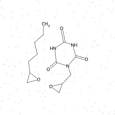 CCCCCC1CO1.O=c1[nH]c(=O)n(CC2CO2)c(=O)[nH]1